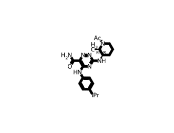 CC(=O)N1CCC[C@@H](Nc2nnc(C(N)=O)c(Nc3ccc(C(C)C)cc3)n2)[C@H]1C